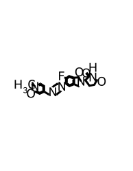 Cn1ccc(CN2CCN(c3cc4c(cc3F)C(=O)N(C3CCC(=O)NC3=O)C4)CC2)cc1=O